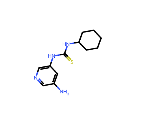 Nc1cncc(NC(=S)NC2CCCCC2)c1